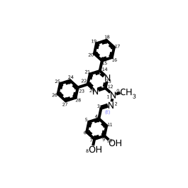 CN(/N=C/c1ccc(O)c(O)c1)c1nc(-c2ccccc2)cc(-c2ccccc2)n1